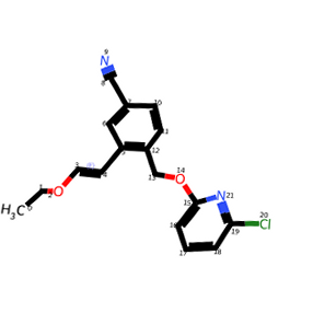 CCO/C=C/c1cc(C#N)ccc1COc1cccc(Cl)n1